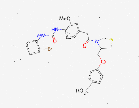 COc1cc(CC(=O)N2CSCC2COc2ccc(C(=O)O)cc2)ccc1NC(=O)Nc1ccccc1Br